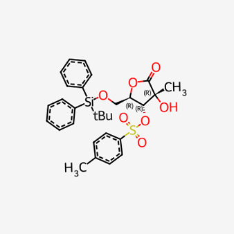 Cc1ccc(S(=O)(=O)O[C@@H]2[C@@H](CO[Si](c3ccccc3)(c3ccccc3)C(C)(C)C)OC(=O)[C@]2(C)O)cc1